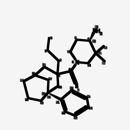 CCCC1(C(=S)N2CC[C@H](N)C(C)(C)C2)CC2CCC[C@@](c3ccccc3)(C2)C1